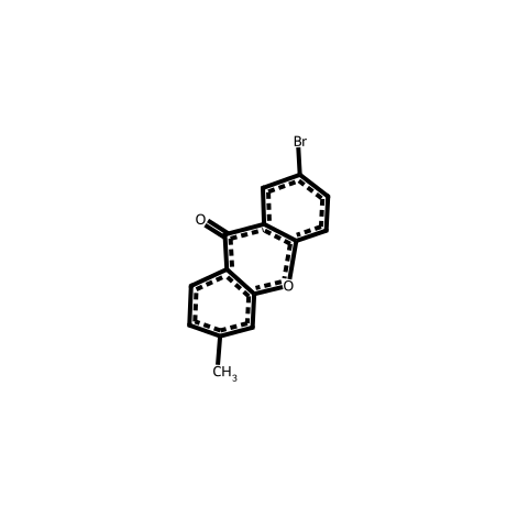 Cc1ccc2c(=O)c3cc(Br)ccc3oc2c1